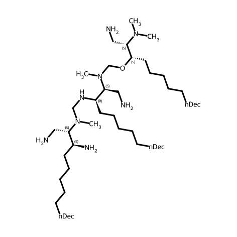 CCCCCCCCCCCCCCC[C@H](OCN(C)[C@@H](CN)[C@@H](CCCCCCCCCCCCCCC)NCN(C)[C@@H](CN)[C@@H](N)CCCCCCCCCCCCCCC)[C@H](CN)N(C)C